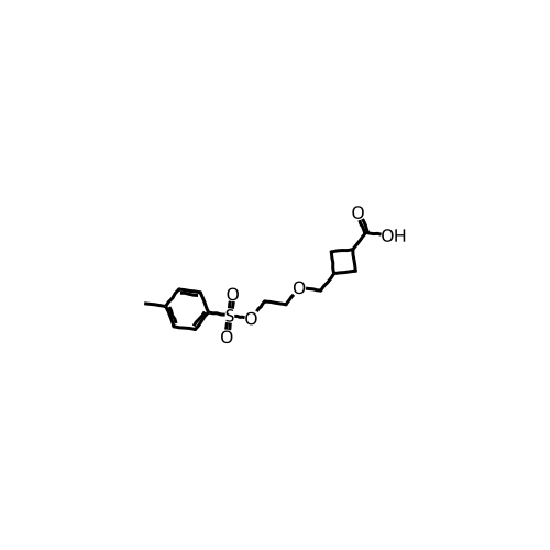 Cc1ccc(S(=O)(=O)OCCOCC2CC(C(=O)O)C2)cc1